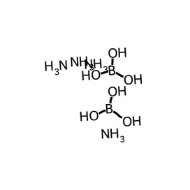 N.N.N.N.OB(O)O.OB(O)O